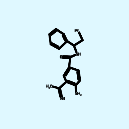 CC(=N)c1cc(C(=O)NC(CC(C)C)c2ccccc2)ccc1N